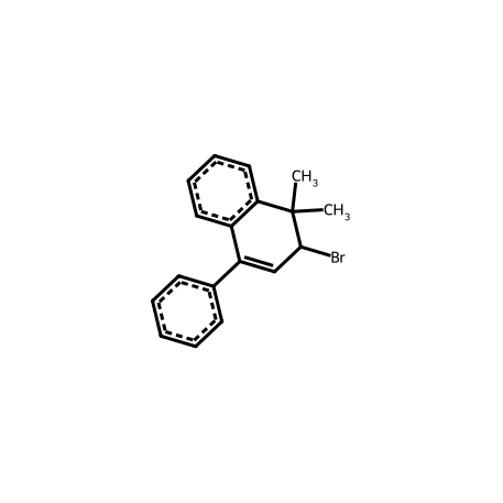 CC1(C)c2ccccc2C(c2ccccc2)=CC1Br